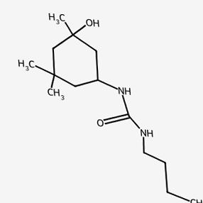 CCCCNC(=O)NC1CC(C)(C)CC(C)(O)C1